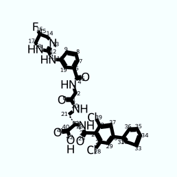 O=C(CNC(=O)c1cccc(NC2=NCC(F)CN2)c1)NC[C@H](NC(=O)c1c(Cl)cc(-c2ccccc2)cc1Cl)C(=O)O